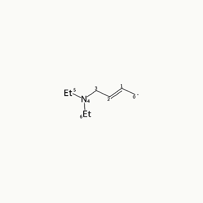 [CH2]C=CCN(CC)CC